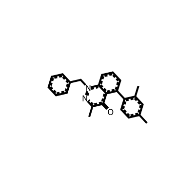 Cc1ccc(-c2cccc3c2c(=O)c(C)nn3Cc2ccccc2)c(C)c1